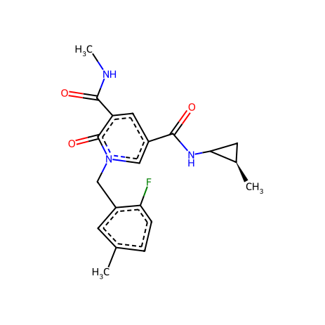 CNC(=O)c1cc(C(=O)NC2C[C@H]2C)cn(Cc2cc(C)ccc2F)c1=O